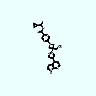 CC(NC(=O)c1cnc(N2CC(CC#N)(n3cc(-c4ccnc5[nH]ccc45)cn3)C2)cn1)C1CC1